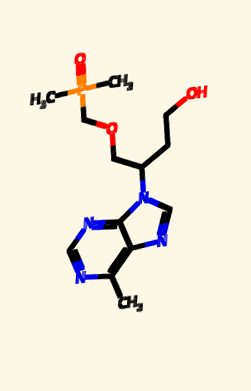 Cc1ncnc2c1ncn2C(CCO)COCP(C)(C)=O